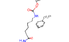 CC(C)(C)OC(=O)NCCCCCC(N)=O.CCOC(=O)c1ccccc1